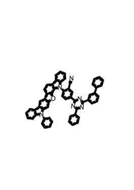 N#Cc1cc(-c2nc(-c3ccccc3)nc(-c3cccc(-c4ccccc4)c3)n2)ccc1-n1c2ccccc2c2ccc3c4cc5c6ccccc6n(-c6ccccc6)c5cc4oc3c21